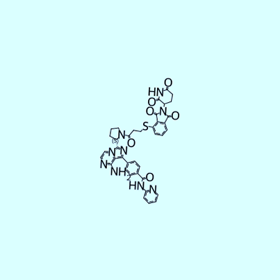 Nc1nccn2c([C@@H]3CCCN3C(=O)CCSc3cccc4c3C(=O)N(C3CCC(=O)NC3=O)C4=O)nc(-c3ccc(C(=O)Nc4ccccn4)cc3)c12